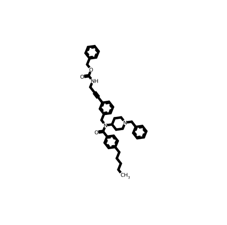 CCCCCc1ccc(C(=O)N(Cc2cccc(C#CCNC(=O)OCc3ccccc3)c2)C2CCN(Cc3ccccc3)CC2)cc1